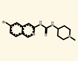 CN1CCC(NC(=O)Nc2cc3cc(Br)ccc3cn2)CC1